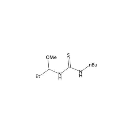 CCCCNC(=S)NC(CC)OC